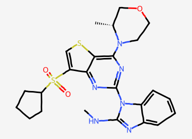 CNc1nc2ccccc2n1-c1nc(N2CCOC[C@H]2C)c2scc(S(=O)(=O)C3CCCC3)c2n1